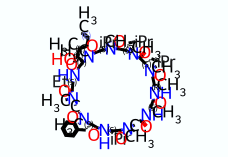 C/C=C/C[C@@H](C)[C@@H](O)[C@H]1C(=O)N[C@@H](CC)C(=O)N(C)CC(=O)N(C)[C@@H](Cc2ccccc2)C(=O)N[C@@H](C(C)C)C(=O)N(C)CC(=O)N[C@@H](C)C(=O)N[C@H](C)C(=O)N(C)[C@@H](CC(C)C)C(=O)N(C)[C@@H](CC(C)C)C(=O)N(C)[C@@H](C(C)C)C(=O)N1C